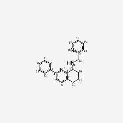 c1ccc(-c2ccc3c(n2)C(NCc2ccccn2)CCC3)cc1